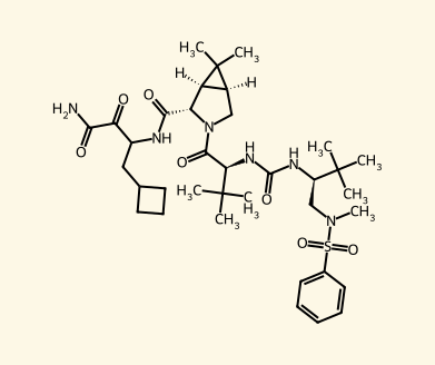 CN(C[C@@H](NC(=O)N[C@H](C(=O)N1C[C@H]2[C@@H]([C@H]1C(=O)NC(CC1CCC1)C(=O)C(N)=O)C2(C)C)C(C)(C)C)C(C)(C)C)S(=O)(=O)c1ccccc1